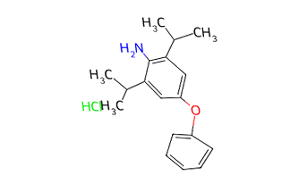 CC(C)c1cc(Oc2ccccc2)cc(C(C)C)c1N.Cl